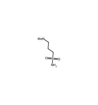 CNCCCS(N)(=O)=O